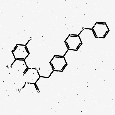 COC(=O)C(Cc1ccc(-c2ccc(Oc3ccccc3)cc2)cc1)NC(=O)c1cc(Cl)ccc1N